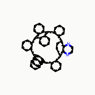 c1ccc2c(c1)c1ccc(c3ccccc3c3c4ccccc4c(c4ccccc43)c3ccccc3c3c4ccccc4c2c2ccccc23)c2nccnc12